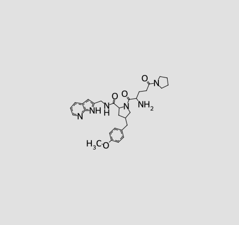 COc1ccc(CC2CC(C(=O)NCc3cc4cccnc4[nH]3)N(C(=O)C(N)CCC(=O)N3CCCC3)C2)cc1